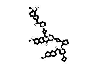 COc1ccc2cc(C(=O)C3CN(C4CCC4)CCN3Cc3ccccc3C3CC(N4CCN(CC5CC(N6CCCC(C(=O)c7ccc8c(CO)c(OC)ccc8c7)C6)C5)C(C(=O)c5ccc6cc(OC)ccc6c5)C4)C3)ccc2c1